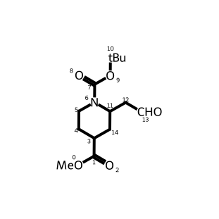 COC(=O)C1CCN(C(=O)OC(C)(C)C)C(CC=O)C1